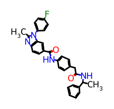 Cc1nc2ccc(C(=O)Nc3ccc(CC(=O)NC(C)c4ccccc4)cc3)cc2n1-c1ccc(F)cc1